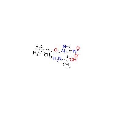 C[C@H](N)C(O)c1c([N+](=O)[O-])cnn1COCC[Si](C)(C)C